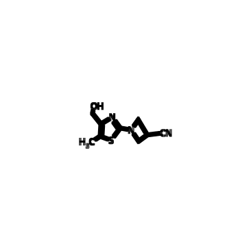 Cc1sc(N2CC(C#N)C2)nc1CO